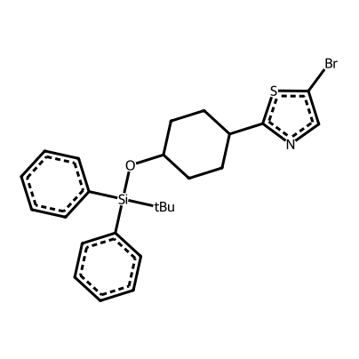 CC(C)(C)[Si](OC1CCC(c2ncc(Br)s2)CC1)(c1ccccc1)c1ccccc1